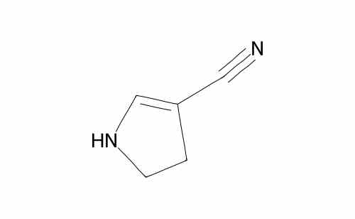 N#CC1=CNCC1